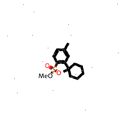 COS(=O)(=O)c1ccc(C)cc1C1(C)CCCCC1